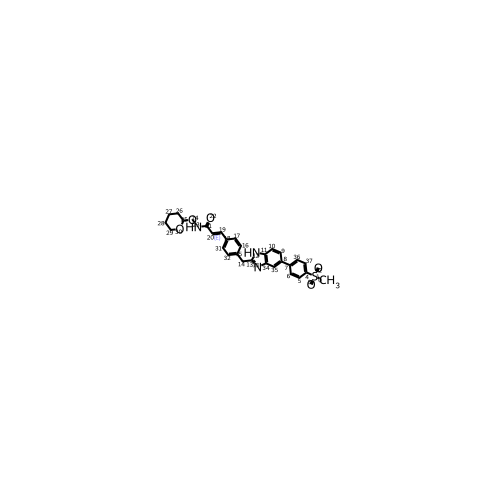 CS(=O)(=O)c1ccc(-c2ccc3[nH]c(Cc4ccc(/C=C/C(=O)NOC5CCCCO5)cc4)nc3c2)cc1